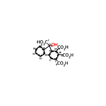 O=C(O)c1ccc(C(O)(C(=O)O)c2ccccc2)c(C(=O)O)c1C(=O)O